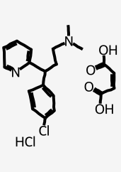 CN(C)CCC(c1ccc(Cl)cc1)c1ccccn1.Cl.O=C(O)/C=C\C(=O)O